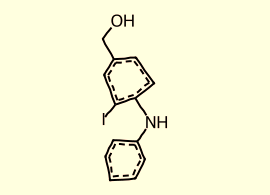 OCc1ccc(Nc2ccccc2)c(I)c1